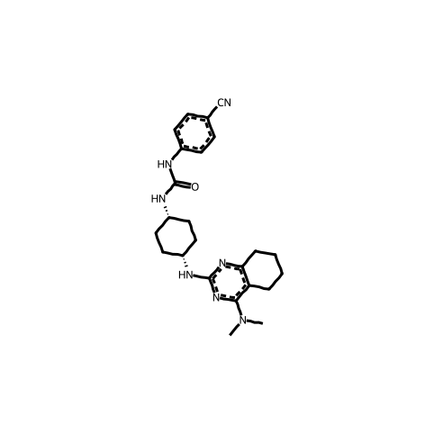 CN(C)c1nc(N[C@H]2CC[C@@H](NC(=O)Nc3ccc(C#N)cc3)CC2)nc2c1CCCC2